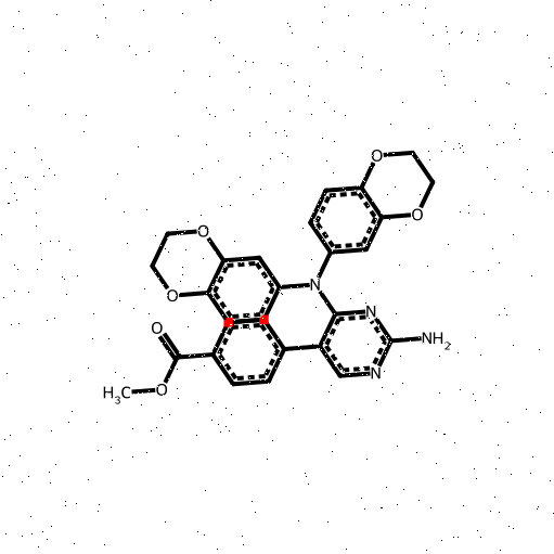 COC(=O)c1ccc(-c2cnc(N)nc2N(c2ccc3c(c2)OCCO3)c2ccc3c(c2)OCCO3)cc1